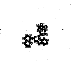 CN(Cc1nc2ccccc2n1C[C@@H]1CCC[N+](C(=O)[O-])(C(C)(C)C)C1)[C@H]1CCCc2cccnc21